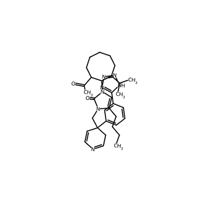 CCCCc1cn(C2C(C(C)=O)CCCCCC2C(C)C)c(=O)n1CC1(c2cccc(-c3nnn[nH]3)c2)C=CN=CC1